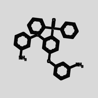 Nc1cccc(Oc2ccc(P(=O)(c3ccccc3)c3ccccc3)c(Oc3cccc(N)c3)c2)c1